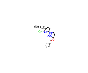 CCOC(=O)c1ccc(-n2ccc(OCCC3CCCC3)n2)nc1Cl